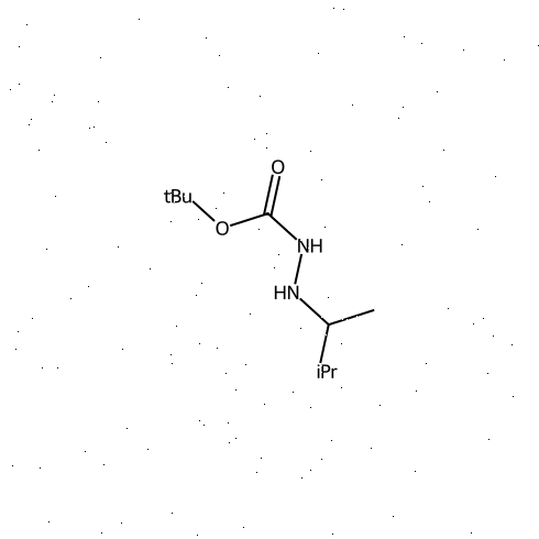 CC(C)C(C)NNC(=O)OC(C)(C)C